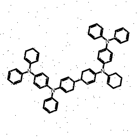 C1=CC(N(c2ccccc2)c2ccc(N(C3=CCC(C4C=CC(N(C5=CCCCC5)c5ccc(N(c6ccccc6)c6ccccc6)cc5)=CC4)C=C3)c3ccccc3)cc2)=CCC1